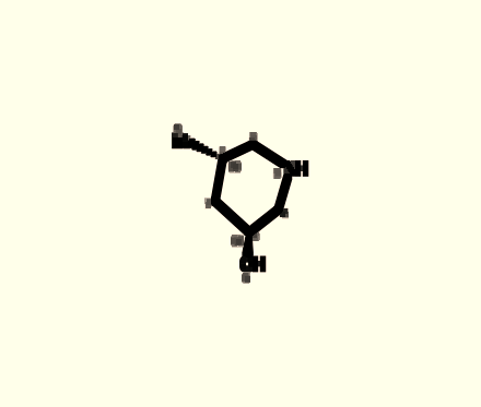 CC[C@@H]1CNC[C@@H](O)C1